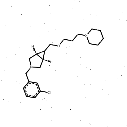 Clc1cccc(CN2C[C@@H]3C(COCCCN4CCCCC4)[C@@H]3C2)c1